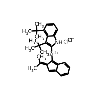 CC(C)=C1C=c2ccccc2=[C]1[Zr+2][c]1[nH]c2cccc(C(C)(C)C)c2c1C(C)(C)C.[Cl-].[Cl-]